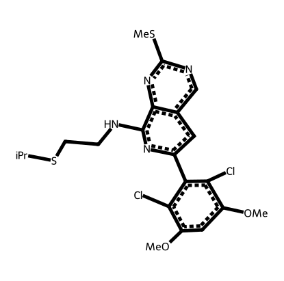 COc1cc(OC)c(Cl)c(-c2cc3cnc(SC)nc3c(NCCSC(C)C)n2)c1Cl